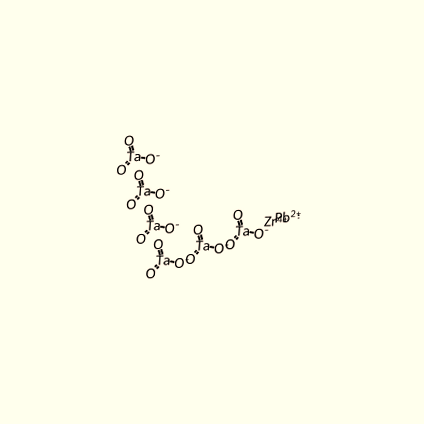 [O]=[Ta](=[O])[O-].[O]=[Ta](=[O])[O-].[O]=[Ta](=[O])[O-].[O]=[Ta](=[O])[O-].[O]=[Ta](=[O])[O-].[O]=[Ta](=[O])[O-].[Pb+2].[Zr+4]